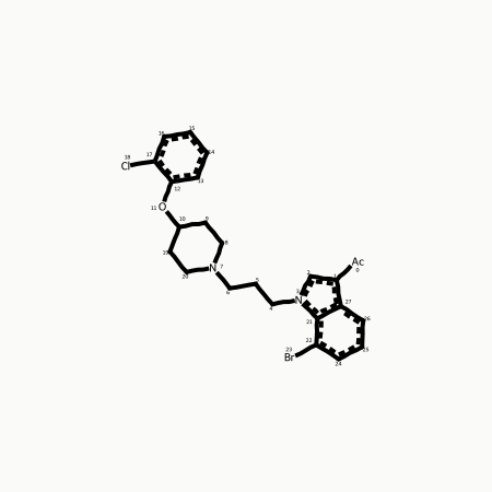 CC(=O)c1cn(CCCN2CCC(Oc3ccccc3Cl)CC2)c2c(Br)cccc12